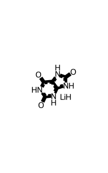 O=c1[nH]c(=O)c2[nH]c(=O)[nH]c2[nH]1.[LiH]